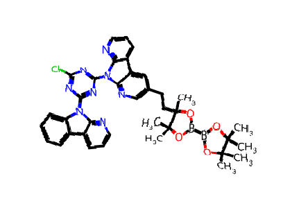 CC1(C)OB(B2OC(C)(C)C(C)(CCc3cnc4c(c3)c3cccnc3n4-c3nc(Cl)nc(-n4c5ccccc5c5cccnc54)n3)O2)OC1(C)C